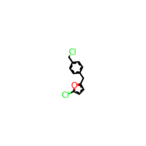 ClCc1ccc(Cc2ccc(Cl)o2)cc1